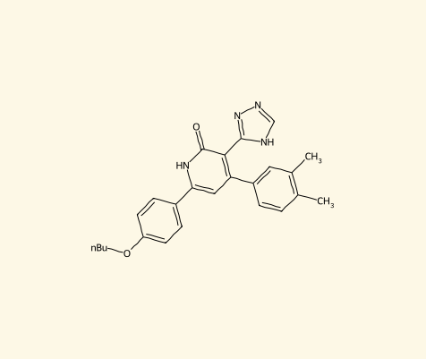 CCCCOc1ccc(-c2cc(-c3ccc(C)c(C)c3)c(-c3nnc[nH]3)c(=O)[nH]2)cc1